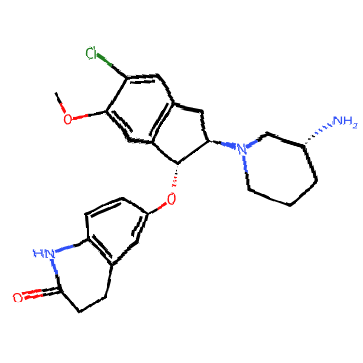 COc1cc2c(cc1Cl)C[C@@H](N1CCC[C@@H](N)C1)[C@@H]2Oc1ccc2c(c1)CCC(=O)N2